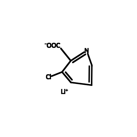 O=C([O-])c1ncccc1Cl.[Li+]